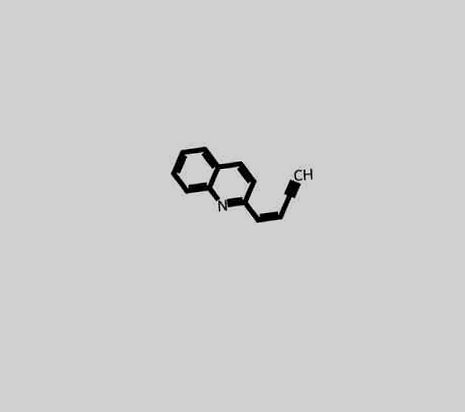 C#C/C=C\c1ccc2ccccc2n1